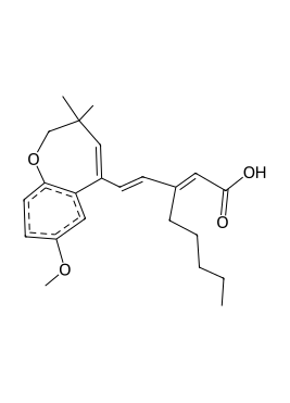 CCCCCC(/C=C/C1=CC(C)(C)COc2ccc(OC)cc21)=C\C(=O)O